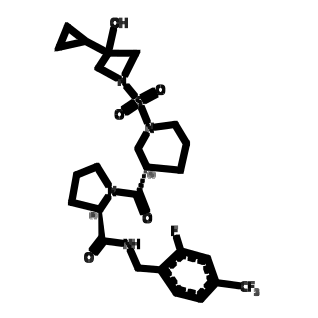 O=C(NCc1ccc(C(F)(F)F)cc1F)[C@H]1CCCN1C(=O)[C@H]1CCCN(S(=O)(=O)N2CC(O)(C3CC3)C2)C1